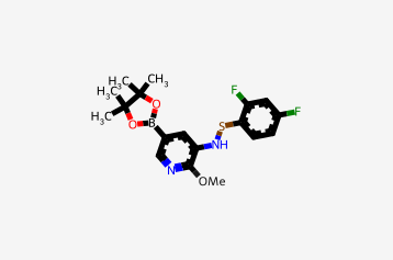 COc1ncc(B2OC(C)(C)C(C)(C)O2)cc1NSc1ccc(F)cc1F